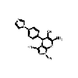 CCCc1nn(C(C)C)c2c1C(c1ccc(-n3ccnc3)cc1)C(C#N)=C(N)O2